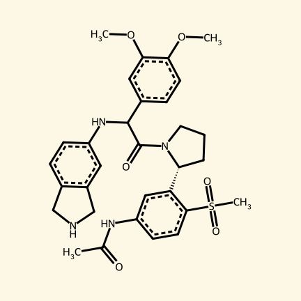 COc1ccc(C(Nc2ccc3c(c2)CNC3)C(=O)N2CCC[C@@H]2c2cc(NC(C)=O)ccc2S(C)(=O)=O)cc1OC